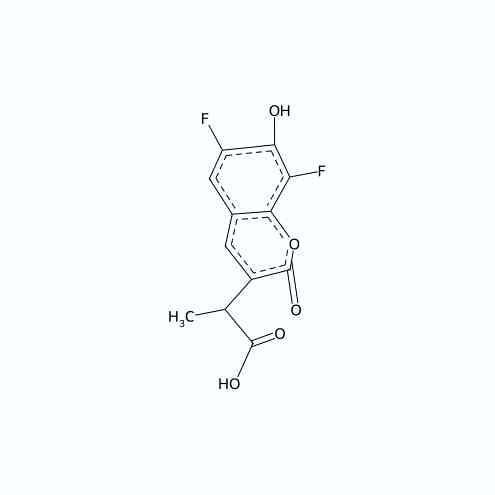 CC(C(=O)O)c1cc2cc(F)c(O)c(F)c2oc1=O